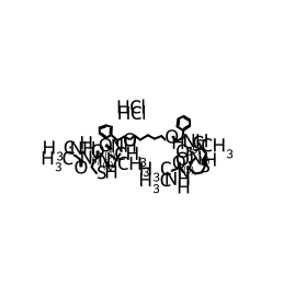 CNC(C)C(=O)N[C@H]1CCS[C@H]2CC(C)(C)[C@@H](C(=O)NC(COCCCCCCOCC(NC(=O)[C@H]3N4C(=O)[C@@H](NC(=O)C(C)NC)CCS[C@H]4CC3(C)C)c3ccccc3)c3ccccc3)N2C1=O.Cl.Cl